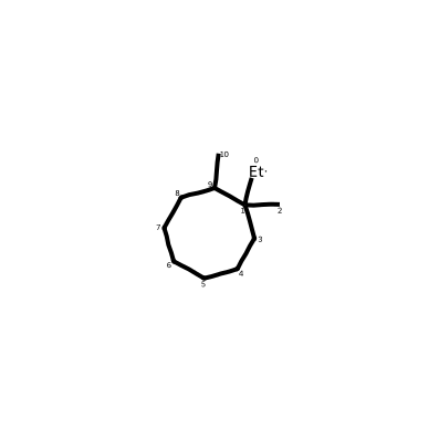 C[CH]C1(C)CCCCCCC1C